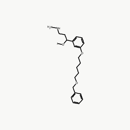 NNCCC(OI)c1cccc(OCCCCCOCc2ccccc2)c1